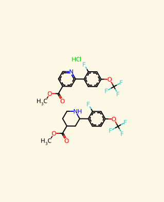 COC(=O)C1CCNC(c2ccc(OC(F)(F)F)cc2F)C1.COC(=O)c1ccnc(-c2ccc(OC(F)(F)F)cc2F)c1.Cl